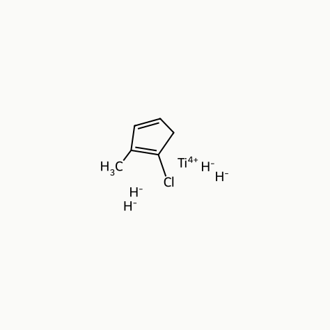 CC1=C(Cl)CC=C1.[H-].[H-].[H-].[H-].[Ti+4]